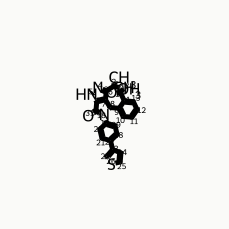 CC(C)c1n[nH]c2c1C(c1ccccc1C(=O)O)N(c1ccc(-c3ccsc3)cc1)C2=O